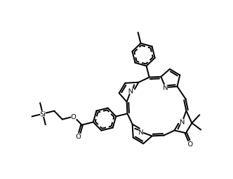 Cc1ccc(C2=C3C=CC(=N3)C=C3N=C(C=C4C=CC(=N4)C(c4ccc(C(=O)OCC[Si](C)(C)C)cc4)=C4C=CC2=N4)C(=O)C3(C)C)cc1